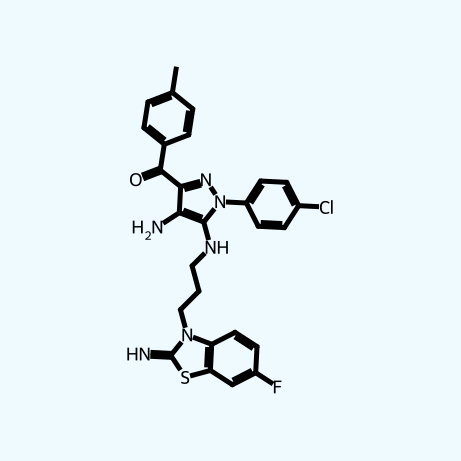 Cc1ccc(C(=O)c2nn(-c3ccc(Cl)cc3)c(NCCCn3c(=N)sc4cc(F)ccc43)c2N)cc1